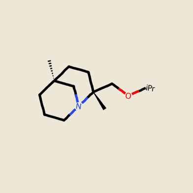 CC(C)OC[C@@]1(C)CC[C@]2(C)CCCN1C2